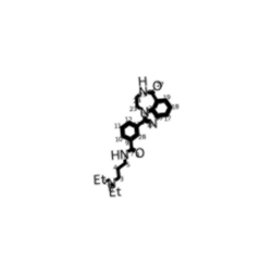 CCN(CC)CCCNC(=O)c1cccc(-c2nc3cccc4c3n2CCNC4=O)c1